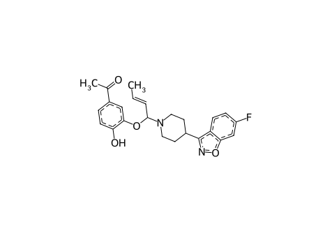 CC=CC(Oc1cc(C(C)=O)ccc1O)N1CCC(c2noc3cc(F)ccc23)CC1